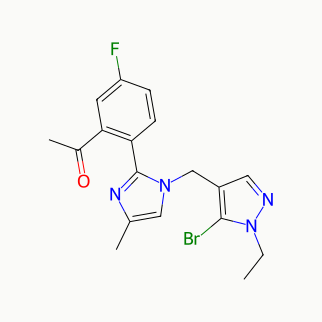 CCn1ncc(Cn2cc(C)nc2-c2ccc(F)cc2C(C)=O)c1Br